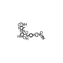 Cc1c(Nc2cc[nH]c(=O)c2C(=O)Nc2ccc(N3CCN(C(=O)N4CC(C)(C)C4)CC3)cc2)cnc2c1NCCO2